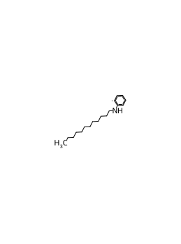 CCCCCCCCCCCCNc1[c]cccc1